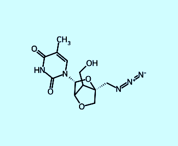 Cc1cn([C@@H]2O[C@@]3(CN=[N+]=[N-])COC2C3CO)c(=O)[nH]c1=O